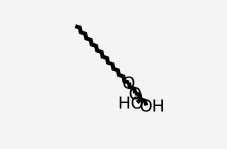 CCCCCCCCCCCCCCCCCCCOCCOCC(O)CO